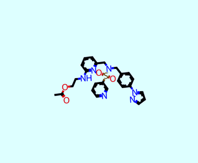 CC(=O)OCCNc1cccc(CN(Cc2ccc(-n3cccn3)cc2)S(=O)(=O)c2cccnc2)n1